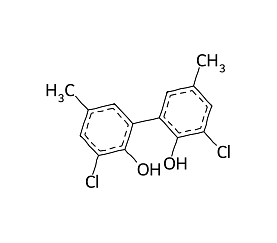 Cc1cc(Cl)c(O)c(-c2cc(C)cc(Cl)c2O)c1